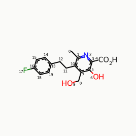 Cc1nc(C(=O)O)c(O)c(CO)c1CCc1ccc(F)cc1